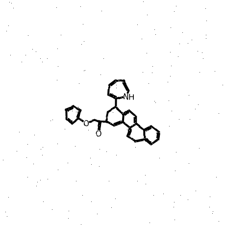 O=C(COc1ccccc1)C1C=c2c(ccc3c2=CCc2ccccc2-3)C(C2=CC=CC=CN2)C1